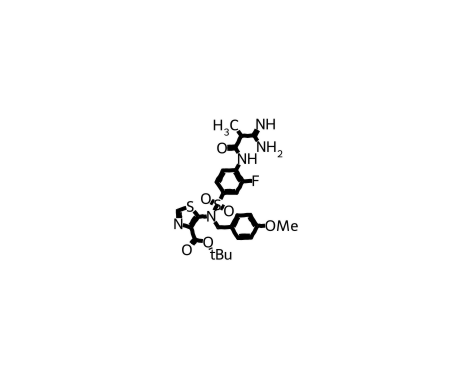 COc1ccc(CN(c2scnc2C(=O)OC(C)(C)C)S(=O)(=O)c2ccc(NC(=O)C(C)C(=N)N)c(F)c2)cc1